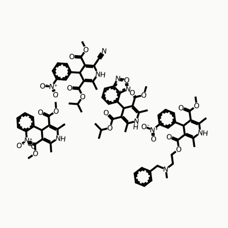 COC(=O)C1=C(C#N)NC(C)=C(C(=O)OC(C)C)C1c1cccc([N+](=O)[O-])c1.COC(=O)C1=C(C)NC(C)=C(C(=O)OC(C)C)C1c1cccc2nonc12.COC(=O)C1=C(C)NC(C)=C(C(=O)OC)C1c1ccccc1[N+](=O)[O-].COC(=O)C1=C(C)NC(C)=C(C(=O)OCCN(C)Cc2ccccc2)C1c1cccc([N+](=O)[O-])c1